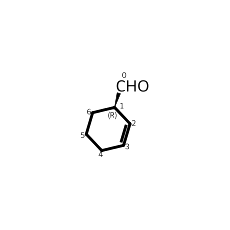 O=C[C@H]1C=CCCC1